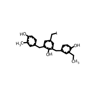 CCc1cc(Cc2cc(CI)cc(Cc3ccc(O)c(C)c3)c2O)ccc1O